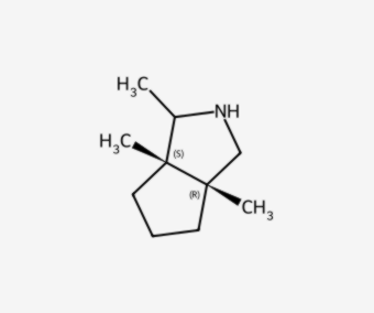 CC1NC[C@]2(C)CCC[C@]12C